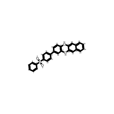 O=S(=O)(c1ccccc1)c1ccc(-c2ccc3c(c2)Oc2cc4ccccc4cc2O3)cc1